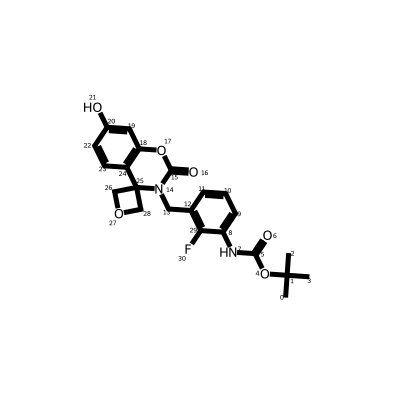 CC(C)(C)OC(=O)Nc1cccc(CN2C(=O)Oc3cc(O)ccc3C23COC3)c1F